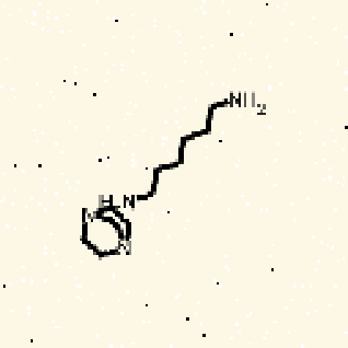 C1CN2CCN1CC2.NCCCCCCN